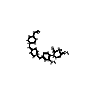 C=C1CCN(c2ccc(CN3CCC(CN4CCC(CC(C)C)CC4)CC3)cc2C)C(=O)N1